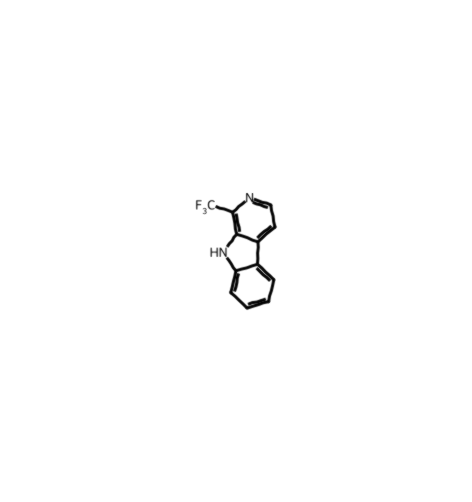 FC(F)(F)c1nccc2c1[nH]c1ccccc12